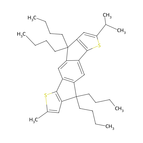 CCCCC1(CCCC)c2cc3c(cc2-c2sc(C)cc21)C(CCCC)(CCCC)c1cc(C(C)C)sc1-3